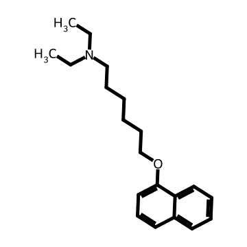 CCN(CC)CCCCCCOc1cccc2ccccc12